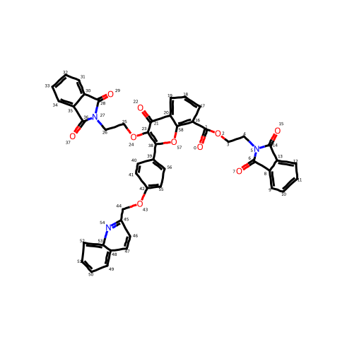 O=C(OCCN1C(=O)c2ccccc2C1=O)c1cccc2c(=O)c(OCCN3C(=O)c4ccccc4C3=O)c(-c3ccc(OCc4ccc5ccccc5n4)cc3)oc12